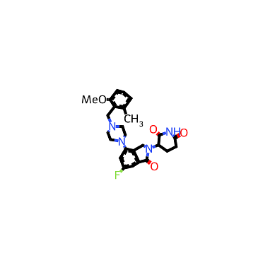 COc1cccc(C)c1CN1CCN(c2cc(F)cc3c2CN(C2CCC(=O)NC2=O)C3=O)CC1